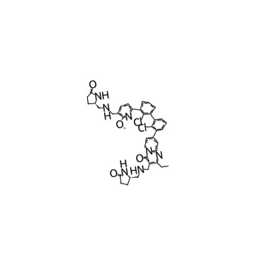 CCc1nc2cc(-c3cccc(-c4cccc(-c5ccc(CNC[C@H]6CCC(=O)N6)c(OC)n5)c4Cl)c3Cl)ccn2c(=O)c1CNC[C@H]1CCC(=O)N1